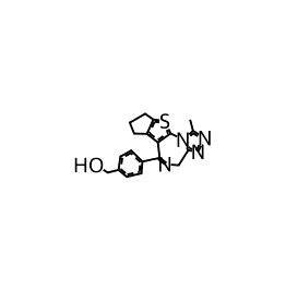 Cc1nnc2n1-c1sc3c(c1C(c1ccc(CO)cc1)=NC2)CCC3